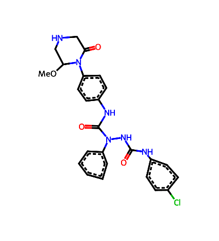 COC1CNCC(=O)N1c1ccc(NC(=O)N(NC(=O)Nc2ccc(Cl)cc2)c2ccccc2)cc1